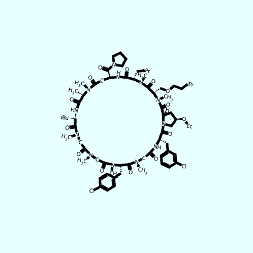 CCO[C@@H]1C[C@H]2C(=O)N(C)[C@@H](COCCC(C)C)C(=O)N(C)[C@@H](CC(C)C)C(=O)N[C@H](C(=O)N3CCCC3)CC(=O)N(C)[C@@H](C)C(=O)N[C@@H]([C@@H](C)CC)C(=O)N(C)CC(=O)N(C)CC(=O)N(C)[C@@H](Cc3ccc(Cl)cc3)C(=O)N(C)CC(=O)N[C@@H](Cc3cccc(Cl)c3)C(=O)N2C1